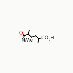 CNC(=O)C(C)CCC(C)C(=O)O